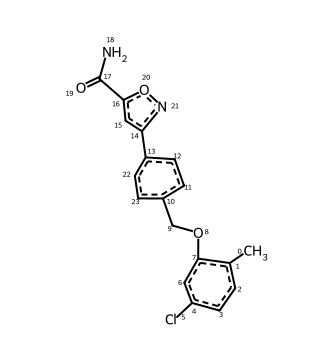 Cc1ccc(Cl)cc1OCc1ccc(-c2cc(C(N)=O)on2)cc1